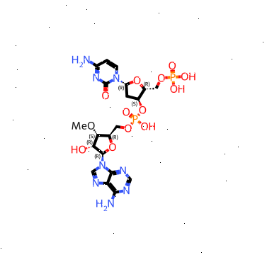 CO[C@H]1[C@@H](O)[C@H](n2cnc3c(N)ncnc32)O[C@@H]1COP(=O)(O)O[C@H]1C[C@H](n2ccc(N)nc2=O)O[C@@H]1COP(=O)(O)O